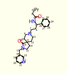 CC(C)CC(=O)NC(CCN1CCC2(CC1)CCN(Cc1cccnc1)C2=O)c1ccccc1